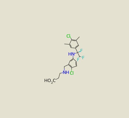 Cc1cc([C@@](F)(Nc2ccc(Cl)c(CNCCC(=O)O)c2)C(F)F)cc(C)c1Cl